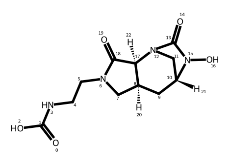 O=C(O)NCCN1C[C@@H]2C[C@@H]3CN(C(=O)N3O)[C@@H]2C1=O